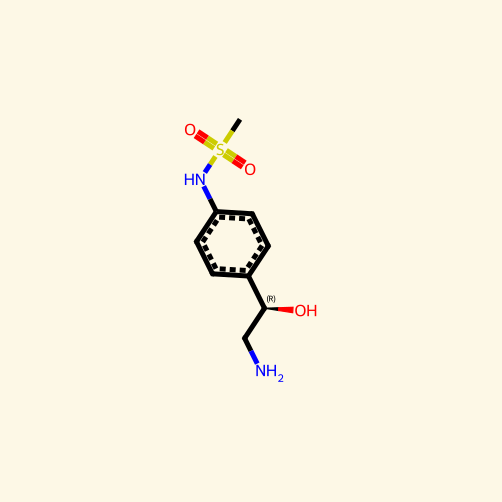 CS(=O)(=O)Nc1ccc([C@@H](O)CN)cc1